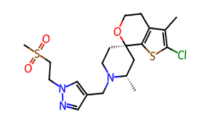 Cc1c(Cl)sc2c1CCO[C@@]21CCN(Cc2cnn(CCS(C)(=O)=O)c2)[C@@H](C)C1